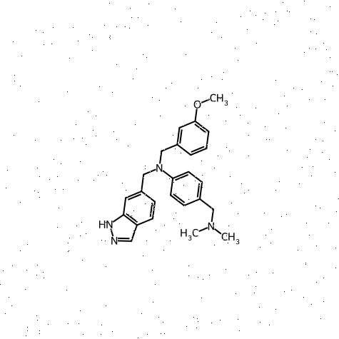 COc1cccc(CN(Cc2ccc3cn[nH]c3c2)c2ccc(CN(C)C)cc2)c1